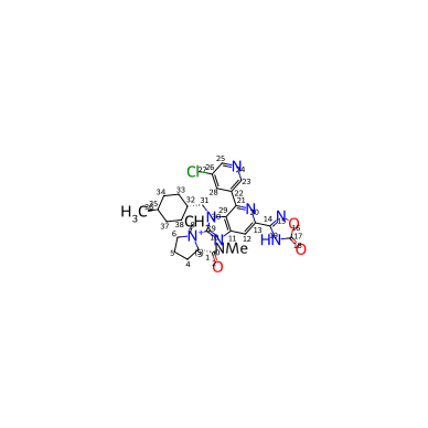 CNC(=O)[C@@H]1CCC[N+]1(C)c1nc2cc(-c3noc(=O)[nH]3)nc(-c3cncc(Cl)c3)c2n1C[C@H]1CC[C@H](C)CC1